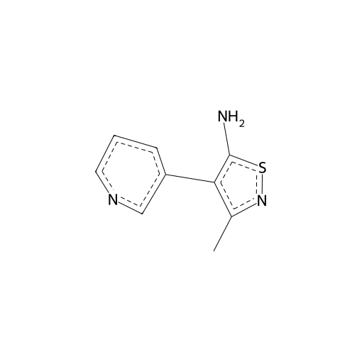 Cc1nsc(N)c1-c1cccnc1